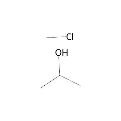 CC(C)O.CCl